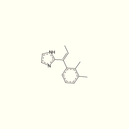 CC=C(c1ncc[nH]1)c1cccc(C)c1C